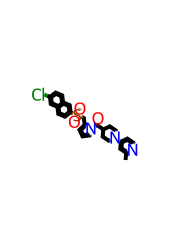 Cc1cc(N2CCC(C(=O)n3cccc3CS(=O)(=O)c3ccc4cc(Cl)ccc4c3)CC2)ccn1